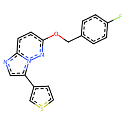 Fc1ccc(COc2ccc3ncc(-c4ccsc4)n3n2)cc1